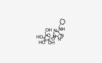 OC[C@H]1OC(On2cnc(NCc3ccccc3)c3ncnc2-3)[C@H](O)[C@@H](O)[C@@H]1O